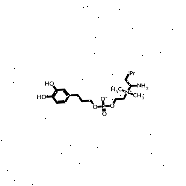 CC(C)CC(N)[N+](C)(C)CCOP(=O)([O-])OCCCc1ccc(O)c(O)c1